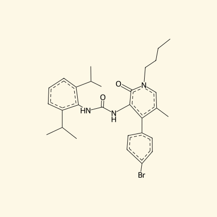 CCCCn1cc(C)c(-c2ccc(Br)cc2)c(NC(=O)Nc2c(C(C)C)cccc2C(C)C)c1=O